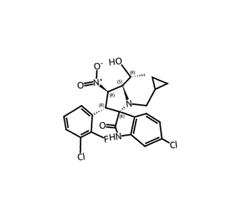 C[C@@H](O)[C@@H]1[C@H]([N+](=O)[O-])[C@@H](c2cccc(Cl)c2F)[C@@]2(C(=O)Nc3cc(Cl)ccc32)N1CC1CC1